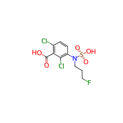 O=C(O)c1c(Cl)ccc(N(CCCF)S(=O)(=O)O)c1Cl